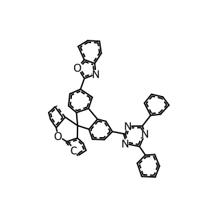 c1ccc(-c2nc(-c3ccccc3)nc(-c3ccc4c(c3)-c3cc(-c5nc6ccccc6o5)ccc3C43c4ccccc4Oc4ccccc43)n2)cc1